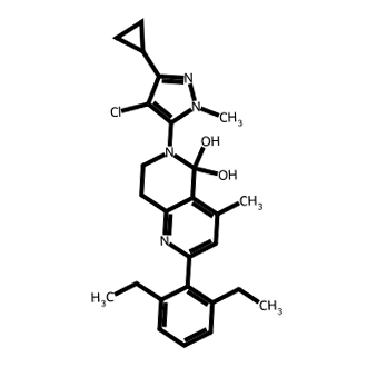 CCc1cccc(CC)c1-c1cc(C)c2c(n1)CCN(c1c(Cl)c(C3CC3)nn1C)C2(O)O